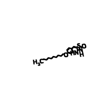 CCCCCCCCCCOc1ccc(C=C2SC(=O)NC2=N)cc1